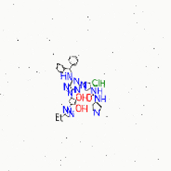 CCc1cnn([C@H]2C[C@@H](n3cnc4c(NCC(c5ccccc5)c5ccccc5)nc(N5CC[C@@H](NC(=O)Nc6ccncc6)C5)nc43)[C@H](O)[C@@H]2O)n1.Cl